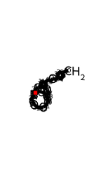 C=Cc1ccc(COCCc2ccc3c(c2)OCCN2CCOCCOCCN(CCOCC2)CCO3)cc1